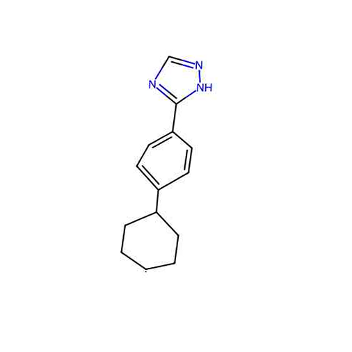 [CH]1CCC(c2ccc(-c3ncn[nH]3)cc2)CC1